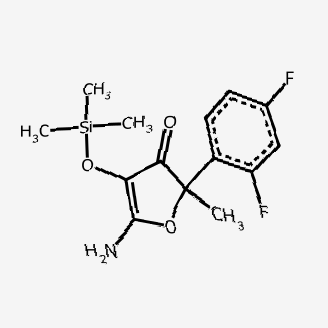 CC1(c2ccc(F)cc2F)OC(N)=C(O[Si](C)(C)C)C1=O